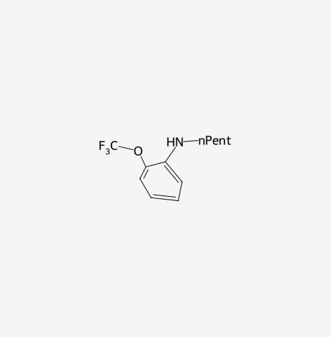 CCCCCNc1ccccc1OC(F)(F)F